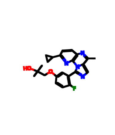 Cc1nc2ccc(C3CC3)nc2n2c(-c3cc(OCC(C)(C)O)ccc3F)ncc12